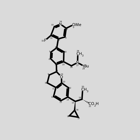 COc1cc(-c2ccc(C3CCc4ccc([C@H](C5CC5)[C@H](C)C(=O)O)cc4O3)c(CN(C)C(C)(C)C)c2)c(F)cn1